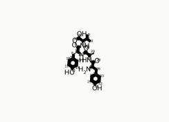 CC(C)[C@@H](NC(=O)[C@@H](Cc1ccc(O)cc1)NC(=O)[C@@H](C)NC(=O)[C@H](N)Cc1ccc(O)cc1)C(=O)O